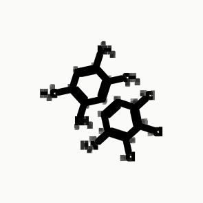 Cc1cc(N)c(C)cc1N.Nc1ccc(Cl)c(Cl)c1Cl